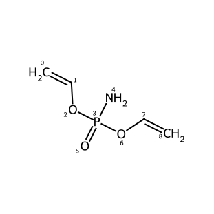 C=COP(N)(=O)OC=C